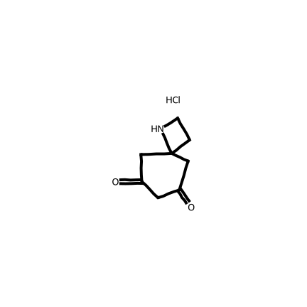 Cl.O=C1CC(=O)CC2(CCN2)C1